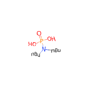 CCCCN(CCCC)P(=O)(O)O